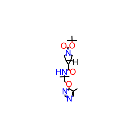 Cc1cncnc1OCC(C)(C)NC(=O)C1C2CN(C(=O)OC(C)(C)C)C[C@@H]21